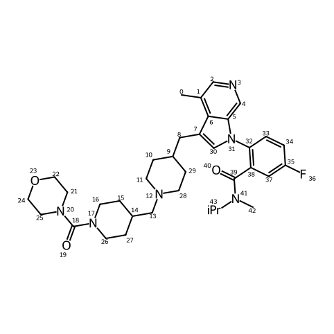 Cc1cncc2c1c(CC1CCN(CC3CCN(C(=O)N4CCOCC4)CC3)CC1)cn2-c1ccc(F)cc1C(=O)N(C)C(C)C